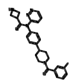 Cc1cccc(C(=O)N2CCC(c3ccc(N(C(=O)C4CNC4)c4cccnn4)cc3)CC2)c1